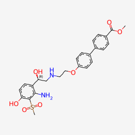 COC(=O)c1ccc(-c2ccc(OCCNC[C@H](O)c3ccc(O)c(S(C)(=O)=O)c3N)cc2)cc1